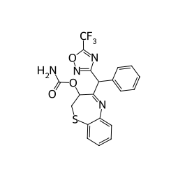 NC(=O)OC1CSc2ccccc2N=C1C(c1ccccc1)c1noc(C(F)(F)F)n1